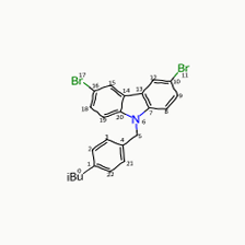 CCC(C)c1ccc(Cn2c3ccc(Br)cc3c3cc(Br)ccc32)cc1